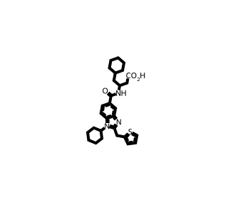 O=C(O)CC(CC1CCCCC1)NC(=O)c1ccc2c(c1)nc(Cc1cccs1)n2C1CCCCC1